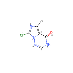 Cc1nc(Cl)n2nc[nH]c(=O)c12